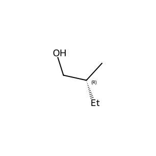 [CH2]C[C@@H](C)CO